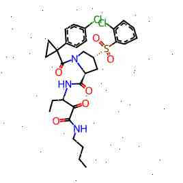 CCCCNC(=O)C(=O)C(CC)NC(=O)[C@@H]1C[C@@H](S(=O)(=O)c2ccccc2Cl)CN1C(=O)C1(c2ccc(Cl)cc2)CC1